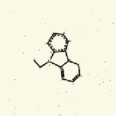 CCN1C2=CC=CCC2c2ccccc21